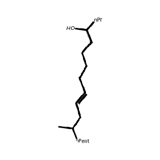 CCCCCC(C)C/C=C/CCCCC(O)CCC